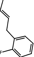 C/C=C/Cc1ccccc1F